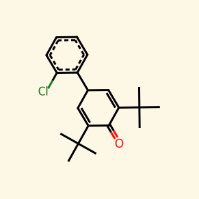 CC(C)(C)C1=CC(c2ccccc2Cl)C=C(C(C)(C)C)C1=O